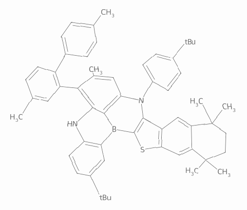 Cc1ccc(-c2ccc(C)cc2-c2c(C)cc3c4c2Nc2ccc(C(C)(C)C)cc2B4c2sc4cc5c(cc4c2N3c2ccc(C(C)(C)C)cc2)C(C)(C)CCC5(C)C)cc1